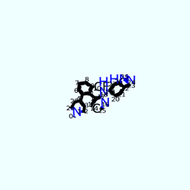 CN1CC=C(c2c[c]cc(C(F)(F)F)c2-c2cccnc2Nc2ccc3cn[nH]c3c2)CC1